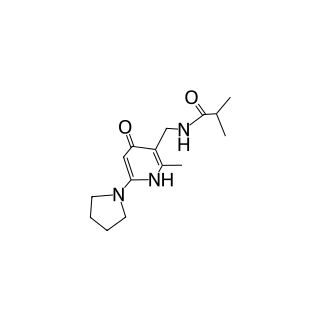 Cc1[nH]c(N2CCCC2)cc(=O)c1CNC(=O)C(C)C